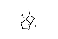 CN1C[C@H]2OCC[C@H]21